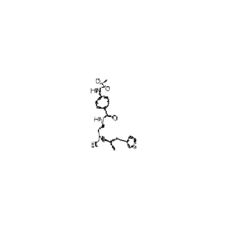 CCN(CCNC(=O)c1ccc(NS(C)(=O)=O)cc1)C(C)Cc1ccsc1